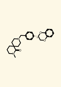 CN1CCCC2(CCN(Cc3ccc([C@H]4COc5ccccc5O4)cc3)CC2)C1=O